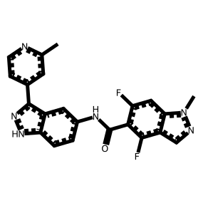 Cc1cc(-c2n[nH]c3ccc(NC(=O)c4c(F)cc5c(cnn5C)c4F)cc23)ccn1